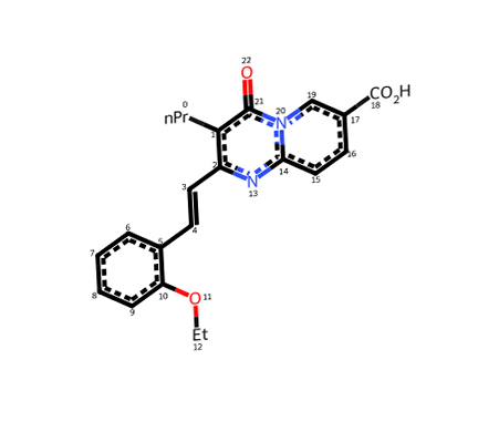 CCCc1c(C=Cc2ccccc2OCC)nc2ccc(C(=O)O)cn2c1=O